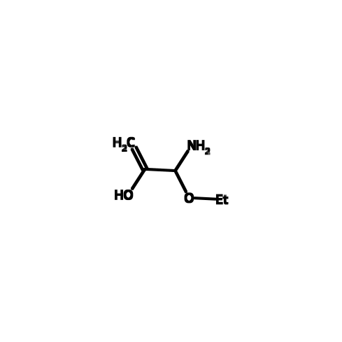 C=C(O)C(N)OCC